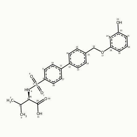 CC(C)[C@@H](NS(=O)(=O)c1ccc(-c2ccc(COc3cccc(O)n3)cc2)cc1)C(=O)O